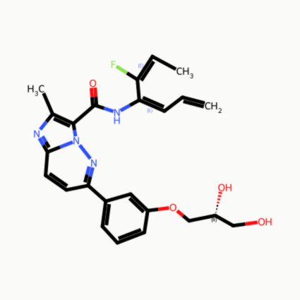 C=C/C=C(NC(=O)c1c(C)nc2ccc(-c3cccc(OC[C@H](O)CO)c3)nn12)\C(F)=C/C